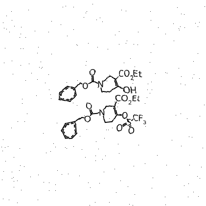 CCOC(=O)C1=C(O)CCN(C(=O)OCc2ccccc2)C1.CCOC(=O)C1=C(OS(=O)(=O)C(F)(F)F)CCN(C(=O)OCc2ccccc2)C1